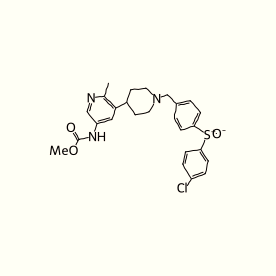 COC(=O)Nc1cnc(C)c(C2CCN(Cc3ccc([S+]([O-])c4ccc(Cl)cc4)cc3)CC2)c1